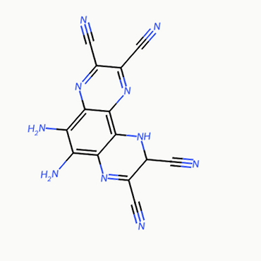 N#CC1=Nc2c(N)c(N)c3nc(C#N)c(C#N)nc3c2NC1C#N